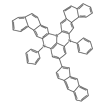 c1ccc(N2c3cc4c(ccc5ccccc54)cc3B3c4cc5ccc6ccccc6c5cc4N(c4ccccc4)c4cc(-c5ccc6cc7ccccc7cc6c5)cc2c43)cc1